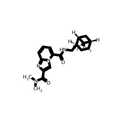 CN(C)C(=O)c1cn2c(C(=O)NC[C@@H]3CC[C@H]4C[C@@H]3C4(C)C)cccc2n1